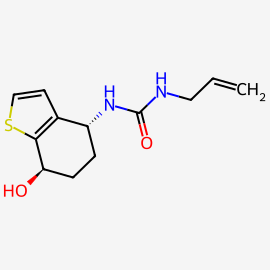 C=CCNC(=O)N[C@@H]1CC[C@@H](O)c2sccc21